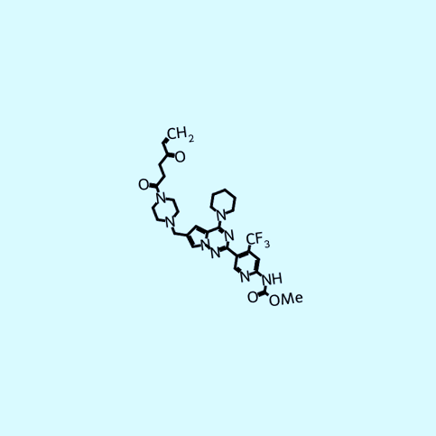 C=CC(=O)CCC(=O)N1CCN(Cc2cc3c(N4CCCCC4)nc(-c4cnc(NC(=O)OC)cc4C(F)(F)F)nn3c2)CC1